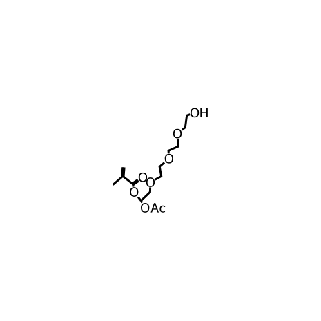 C=C(C)C(=O)OC(COCCOCCOCCO)OC(C)=O